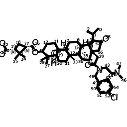 CC(C)C1=C2[C@H]3CC[C@@H]4[C@@]5(C)CC[C@H](OC(=O)[C@H]6C[C@@H](C(=O)O)C6(C)C)C(C)(C)[C@@H]5CC[C@@]4(C)[C@]3(C)CC[C@@]2(CC(=O)N(CCN(C)C)Cc2ccc(Cl)cc2)CC1=O